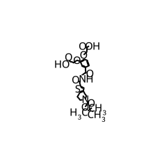 CC(C)(C)OC(=O)N1CCc2sc(C(=O)NCC(=O)c3ccc(OCC(=O)O)c(OCC(=O)O)c3)cc2C1